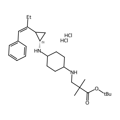 CCC(=Cc1ccccc1)C1C[C@@H]1NC1CCC(NCC(C)(C)C(=O)OC(C)(C)C)CC1.Cl.Cl